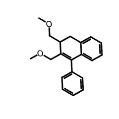 COCC1=C(c2ccccc2)c2ccccc2CC1COC